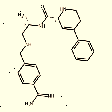 C[C@@H](CNCc1ccc(C(=N)N)cc1)NC(=O)[C@H]1C=C(c2ccccc2)CCN1